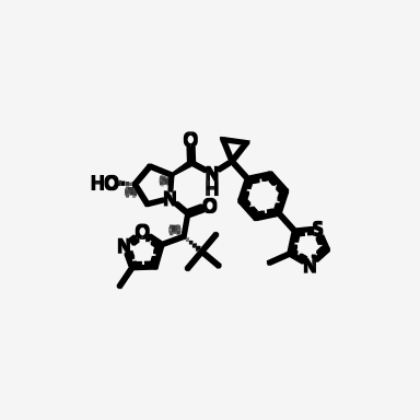 Cc1cc([C@H](C(=O)N2C[C@H](O)C[C@H]2C(=O)NC2(c3ccc(-c4scnc4C)cc3)CC2)C(C)(C)C)on1